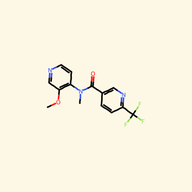 COc1cnccc1N(C)C(=O)c1ccc(C(F)(F)F)nc1